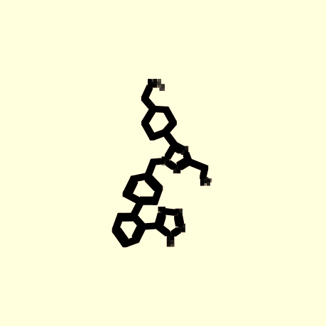 CC(C)Cc1nc(C2CCC(CN)CC2)n(Cc2ccc(-c3ccccc3-c3nnn[nH]3)cc2)n1